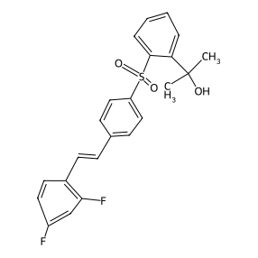 CC(C)(O)c1ccccc1S(=O)(=O)c1ccc(C=Cc2ccc(F)cc2F)cc1